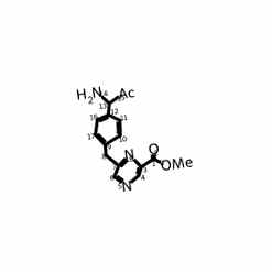 COC(=O)c1cncc(Cc2ccc(C(N)C(C)=O)cc2)n1